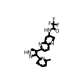 Cc1cccc(-c2n[nH]cc2-c2ccc3ncc(NC(=O)C(F)(F)F)cc3n2)n1